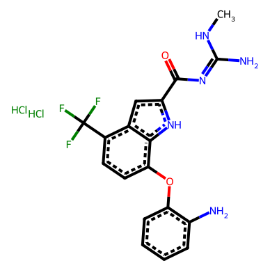 CNC(N)=NC(=O)c1cc2c(C(F)(F)F)ccc(Oc3ccccc3N)c2[nH]1.Cl.Cl